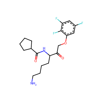 NCCCCC(NC(=O)C1CCCC1)C(=O)COc1cc(F)cc(F)c1F